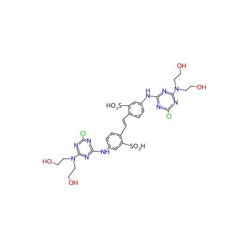 O=S(=O)(O)c1cc(Nc2nc(Cl)nc(N(CCO)CCO)n2)ccc1C=Cc1ccc(Nc2nc(Cl)nc(N(CCO)CCO)n2)cc1S(=O)(=O)O